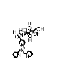 CN(C[C@H](O)[C@@H](O)[C@H](O)[C@H](O)CO)C(=O)c1ccc(CN(Cc2ccccn2)Cc2ccccn2)nc1